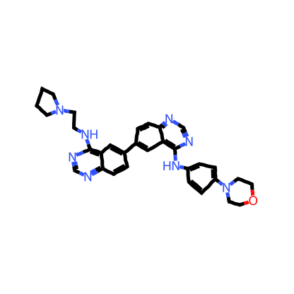 c1nc(NCCN2CCCC2)c2cc(-c3ccc4ncnc(Nc5ccc(N6CCOCC6)cc5)c4c3)ccc2n1